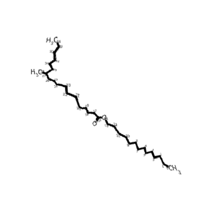 CCCCCCCCCCCCCCOC(=O)CCCCCCCCCCC(C)CCCCCC